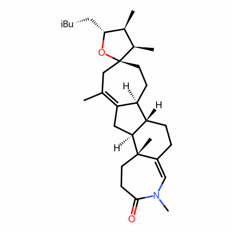 CC[C@@H](C)C[C@H]1O[C@]2(CC[C@@H]3C(=C(C)C2)C[C@H]2[C@H]3CCC3=CN(C)C(=O)CC[C@@]32C)[C@H](C)[C@@H]1C